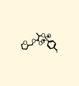 CC(OS(=O)(=O)c1ccc(I)cc1)C(=O)OCC1CCCO1